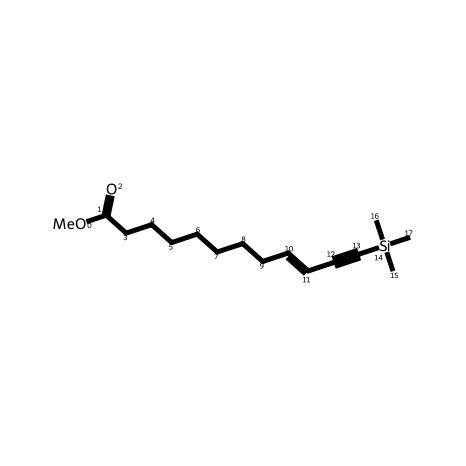 COC(=O)CCCCCCCC=CC#C[Si](C)(C)C